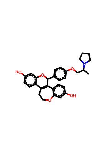 CC(COc1ccc(C2Oc3cc(O)ccc3C3=C2c2ccc(O)cc2OCC3)cc1)N1CCCC1